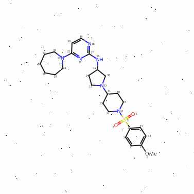 COc1ccc(S(=O)(=O)N2CCC(N3CCC(Nc4nccc(N5CCCCCC5)n4)C3)CC2)cc1